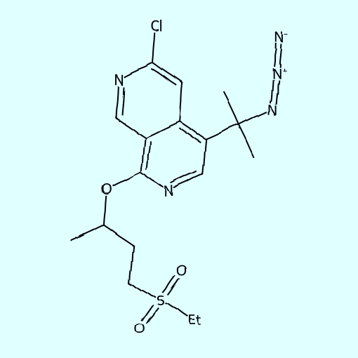 CCS(=O)(=O)CCC(C)Oc1ncc(C(C)(C)N=[N+]=[N-])c2cc(Cl)ncc12